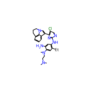 CCc1cc(N(C)CCN(C)C)c(N)cc1Nc1ncc(Cl)c(-c2cn3c4c(cccc24)CCC3)n1